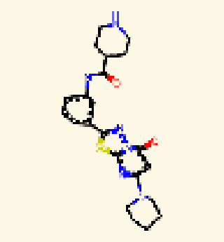 O=C(Nc1cccc(-c2nn3c(=O)cc(N4CCCCC4)nc3s2)c1)C1CCNCC1